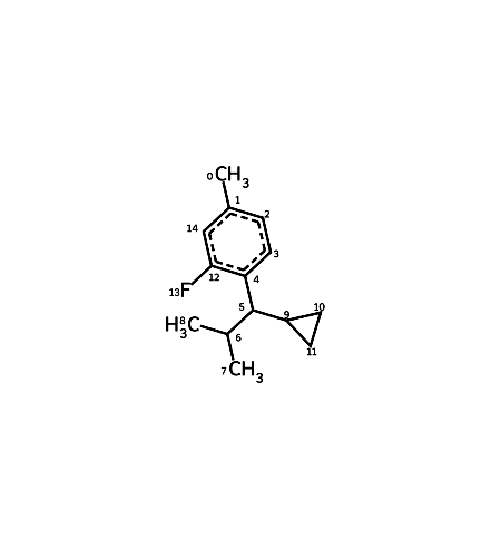 Cc1ccc(C(C(C)C)C2CC2)c(F)c1